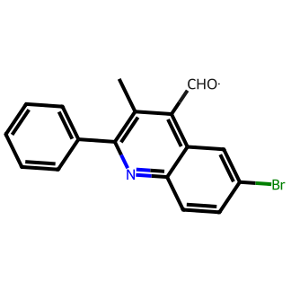 Cc1c(-c2ccccc2)nc2ccc(Br)cc2c1[C]=O